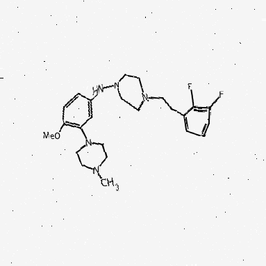 COc1ccc(NN2CCN(CCc3cccc(F)c3F)CC2)cc1N1CCN(C)CC1